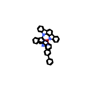 c1ccc(-c2ccc(-c3nc(-c4ccccc4)nc(-n4c5ccccc5c5ccc6c7ccccc7n(-c7cccc8c7oc7ccccc78)c6c54)n3)cc2)cc1